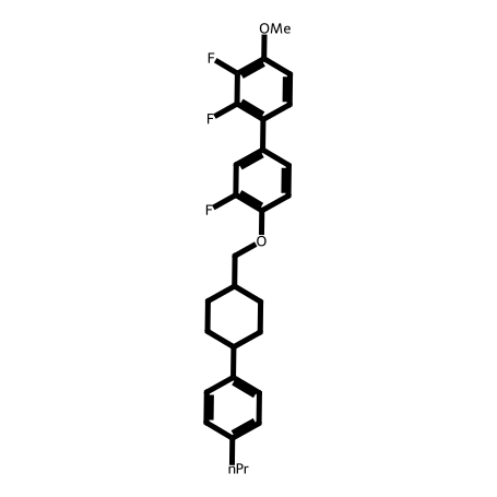 CCCc1ccc(C2CCC(COc3ccc(-c4ccc(OC)c(F)c4F)cc3F)CC2)cc1